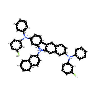 Fc1cccc(N(c2ccccc2)c2ccc3cc4c5ccc(N(c6ccccc6)c6cccc(F)c6)cc5n(-c5ccc6ccccc6c5)c4cc3c2)c1